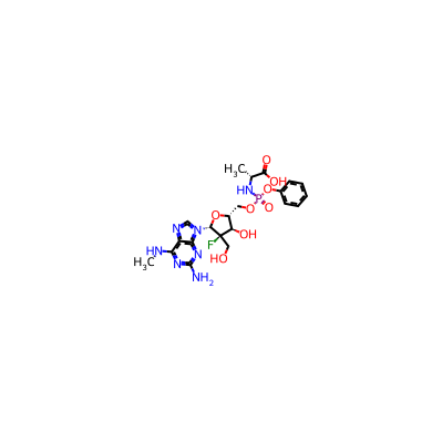 CNc1nc(N)nc2c1ncn2[C@@H]1O[C@H](COP(=O)(N[C@H](C)C(=O)O)Oc2ccccc2)[C@@H](O)[C@]1(F)CO